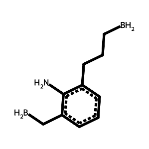 BCCCc1cccc(CB)c1N